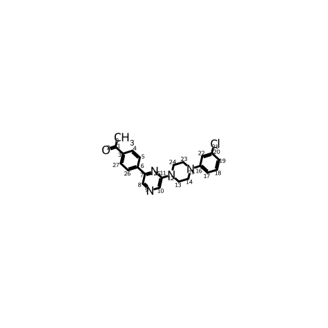 CC(=O)c1ccc(-c2cncc(N3CCN(c4cccc(Cl)c4)CC3)n2)cc1